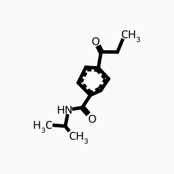 CCC(=O)c1ccc(C(=O)NC(C)C)cc1